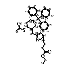 CCOC(=O)CCn1ccc(/C=C2\CN(C(c3ccccc3)(c3ccccc3)c3ccccc3)CC[C@H]2SC(C)=O)n1